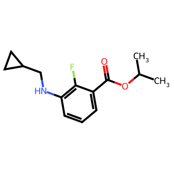 CC(C)OC(=O)c1cccc(NCC2CC2)c1F